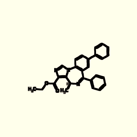 CCOC(=O)c1ncn2c1[C@H](C)N=C(c1ccccc1)c1cc(-c3ccccc3)ccc1-2